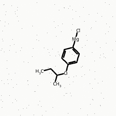 CCC(C)Oc1cc[c]([Mg][Cl])cc1